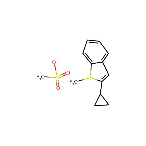 FC(F)(F)[s+]1c(C2CC2)cc2ccccc21.O=S(=O)([O-])C(F)(F)F